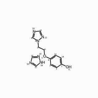 Oc1ccc(OCCn2cncn2)cc1.c1nc[nH]n1